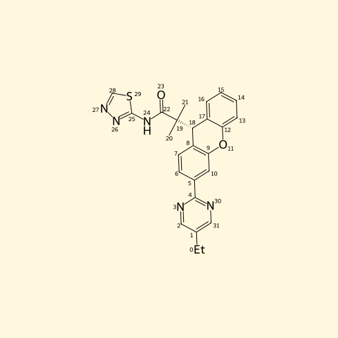 CCc1cnc(-c2ccc3c(c2)Oc2ccccc2[C@H]3C(C)(C)C(=O)Nc2nncs2)nc1